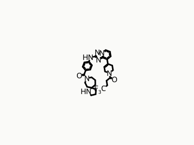 O=C(CCC(F)(F)F)N1CC=C(c2cccn3nc(Nc4ccc(C(=O)N5CCCC6(CCCN6)CC5)cc4)nc23)CC1